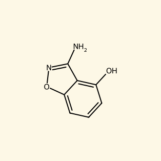 Nc1noc2cccc(O)c12